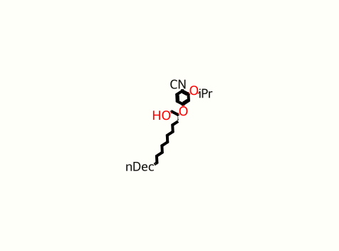 CCCCCCCCCCCCCCCCCCC[C@H](CO)Oc1ccc(C#N)c(OC(C)C)c1